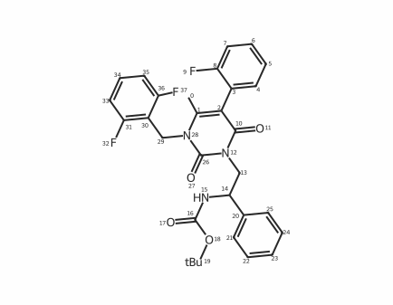 Cc1c(-c2ccccc2F)c(=O)n(CC(NC(=O)OC(C)(C)C)c2ccccc2)c(=O)n1Cc1c(F)cccc1F